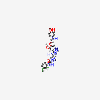 COc1cc2c(Nc3cnn(CC(=O)Nc4cccc(F)c4F)c3)ncnc2cc1OCCNC1CCC(O)CC1